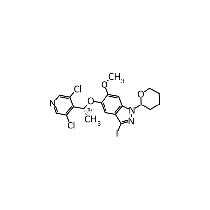 COc1cc2c(cc1O[C@H](C)c1c(Cl)cncc1Cl)c(I)nn2C1CCCCO1